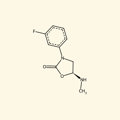 CN[C@@H]1CN(c2cccc(F)c2)C(=O)O1